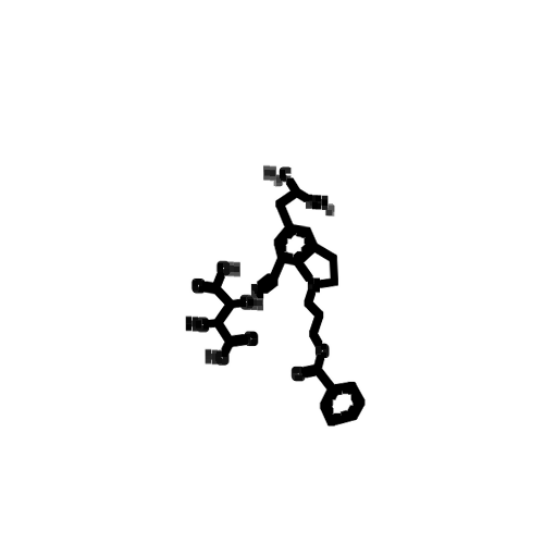 CC(N)Cc1cc(C#N)c2c(c1)CCN2CCCOC(=O)c1ccccc1.O=C(O)C(O)C(O)C(=O)O